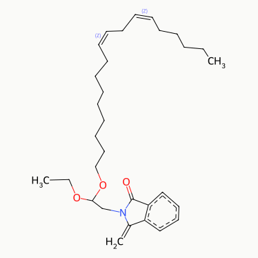 C=C1c2ccccc2C(=O)N1CC(OCC)OCCCCCCCC/C=C\C/C=C\CCCCC